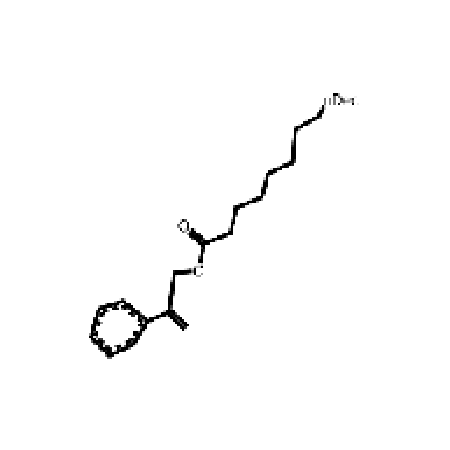 C=C(COC(=O)CCCCCCCCCCCCCCCCC)c1ccccc1